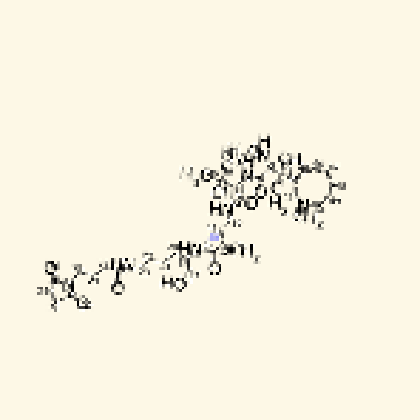 CNC(C(=O)NC(C(=O)NC/C=C(\C)C(=O)NC(CO)CCCCNC(=O)CCCN1C(=O)C=CC1=O)C(C)(C)C)C(C)(C)c1ccccccn(C)c1